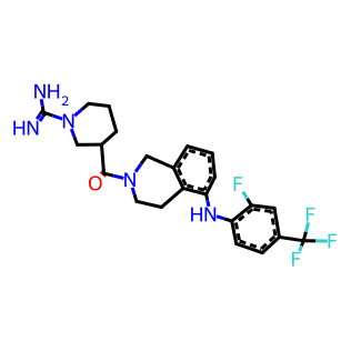 N=C(N)N1CCCC(C(=O)N2CCc3c(cccc3Nc3ccc(C(F)(F)F)cc3F)C2)C1